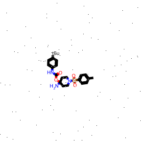 Cc1ccc(S(=O)(=O)N2CCC(N)(OC(=O)Nc3ccc(C(C)(C)C)cc3)CC2)cc1